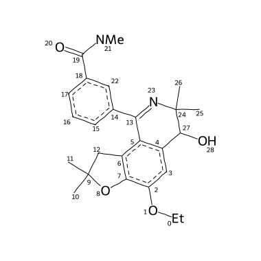 CCOc1cc2c(c3c1OC(C)(C)C3)C(c1cccc(C(=O)NC)c1)=NC(C)(C)C2O